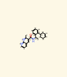 Cc1nc2ncccc2cc1C(=O)NC(C)c1ccccc1C1CC=CCC1